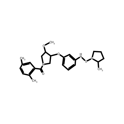 COC1CN(C(=O)c2cc(C)ccc2C)CC1Oc1cccc(NSN2CCCC2C)c1